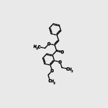 CCOC(=Cc1ccccc1)C(=O)c1cccc(OCC)c1OCC